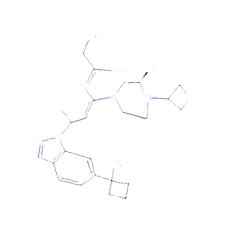 CCC(/C=C(\N=C(/N)COC)N1CCN(C2COC2)[C@H](C)C1)n1ncc2ccc(C3(C#N)CCC3)cc21